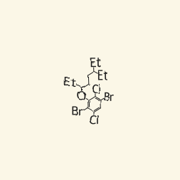 CCC(CC)CCC(CC)Oc1c(Cl)c(Br)cc(Cl)c1Br